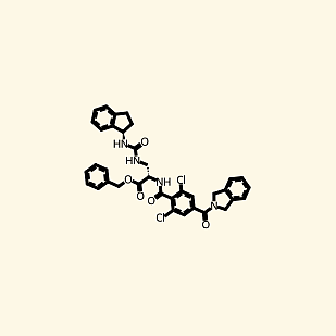 O=C(NC[C@H](NC(=O)c1c(Cl)cc(C(=O)N2Cc3ccccc3C2)cc1Cl)C(=O)OCc1ccccc1)N[C@@H]1CCc2ccccc21